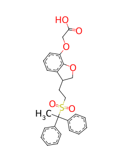 CC(c1ccccc1)(c1ccccc1)S(=O)(=O)CCC1COc2c(OCC(=O)O)cccc21